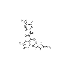 Cc1cc(NC(=O)C(=O)N2C[C@H](C)CCC2C2CC3(CC(N)C3)C2)cnc1N